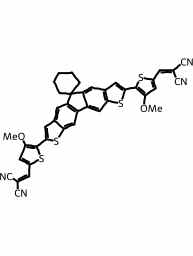 COc1cc(C=C(C#N)C#N)sc1-c1cc2cc3c(cc2s1)-c1cc2sc(-c4sc(C=C(C#N)C#N)cc4OC)cc2cc1C31CCCCC1